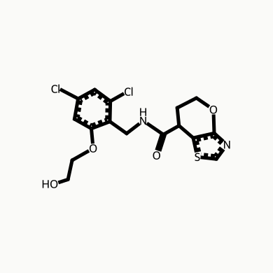 O=C(NCc1c(Cl)cc(Cl)cc1OCCO)C1CCOc2ncsc21